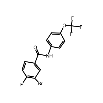 O=C(Nc1ccc(OC(F)(F)F)cc1)c1ccc(F)c(Br)c1